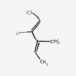 C/[C]=C(\C)C(Cl)=CCl